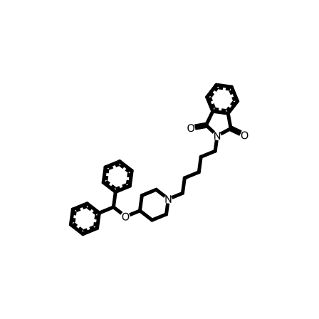 O=C1c2ccccc2C(=O)N1CCCCCN1CCC(OC(c2ccccc2)c2ccccc2)CC1